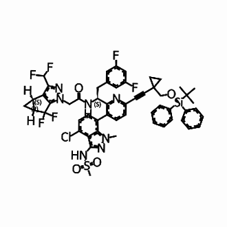 Cn1nc(NS(C)(=O)=O)c2c(Cl)ccc(-c3ccc(C#CC4(CO[Si](c5ccccc5)(c5ccccc5)C(C)(C)C)CC4)nc3[C@H](Cc3cc(F)cc(F)c3)NC(=O)Cn3nc(C(F)F)c4c3C(F)(F)[C@@H]3C[C@H]43)c21